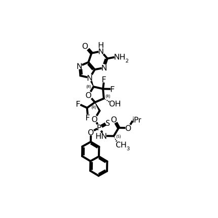 CC(C)OC(=O)[C@H](C)NP(=S)(OC[C@@]1(C(F)F)O[C@@H](n2cnc3c(=O)[nH]c(N)nc32)C(F)(F)[C@@H]1O)Oc1ccc2ccccc2c1